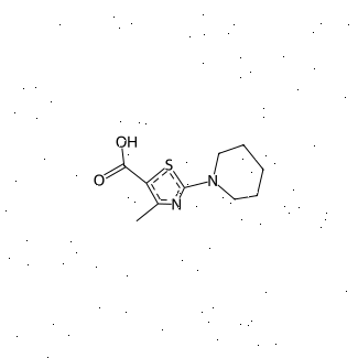 Cc1nc(N2CCCCC2)sc1C(=O)O